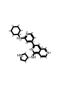 c1cc2c(N[C@@H]3CCNC3)nc(-c3ccnc(NC4CCCCC4)c3)cc2cn1